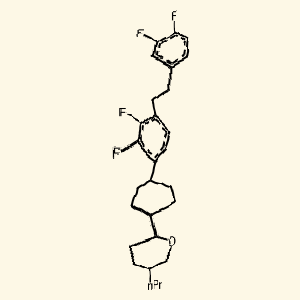 CCCC1CCC(C2CCC(c3ccc(CCc4ccc(F)c(F)c4)c(F)c3F)CC2)OC1